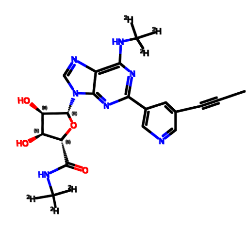 [2H]C([2H])([2H])NC(=O)[C@H]1O[C@@H](n2cnc3c(NC([2H])([2H])[2H])nc(-c4cncc(C#CC)c4)nc32)[C@H](O)[C@@H]1O